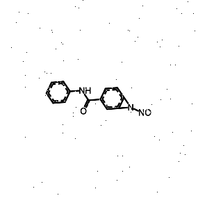 O=NN1c2ccc(C(=O)Nc3ccccc3)cc21